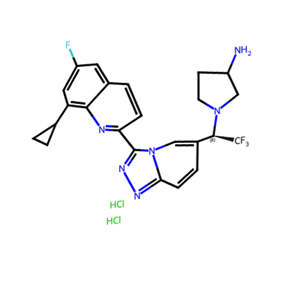 Cl.Cl.NC1CCN([C@H](c2ccc3nnc(-c4ccc5cc(F)cc(C6CC6)c5n4)n3c2)C(F)(F)F)C1